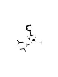 CC1CN(Cn2nc(-c3cccs3)nc2S)C(C)CO1